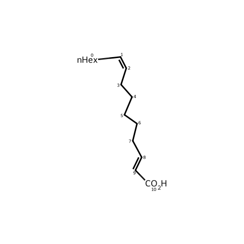 CCCCCC/C=C\CCCCC/C=C/C(=O)O